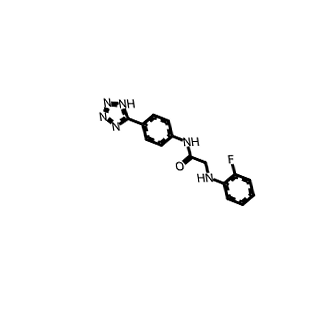 O=C(CNc1ccccc1F)Nc1ccc(-c2nnn[nH]2)cc1